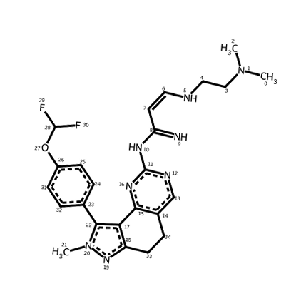 CN(C)CCN/C=C\C(=N)Nc1ncc2c(n1)-c1c(nn(C)c1-c1ccc(OC(F)F)cc1)CC2